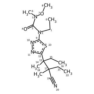 CCN(C(=O)N(C)OC)c1nnc(C(C)(CC)C(C)(C#N)CC)s1